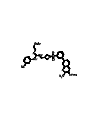 CCCCCc1cc2ccc(-c3cccc(S(=O)(=O)N4CC(CN/C(=N\CCOC)Nc5cccc(C#N)c5)C4)c3)cc2nc1N